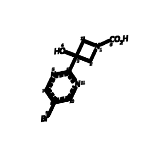 O=C(O)N1CC(O)(c2ncc(Br)cn2)C1